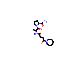 CC(NC(=O)CCC(=O)N1CCCCCC1)C(=O)N1CCC[C@H]1C(N)=O